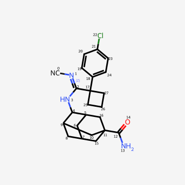 N#C/N=C(\NC1C2CC3CC1CC(C(N)=O)(C3)C2)C1(c2ccc(Cl)cc2)CCC1